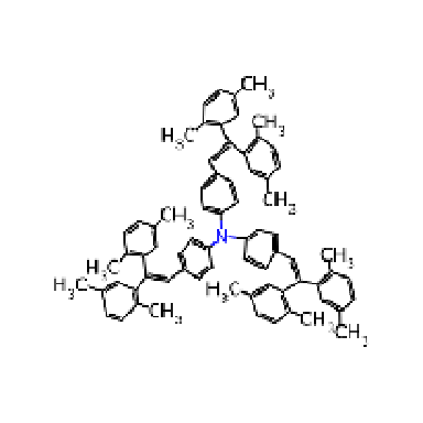 Cc1ccc(C)c(C(=Cc2ccc(N(c3ccc(C=C(c4cc(C)ccc4C)c4cc(C)ccc4C)cc3)c3ccc(C=C(c4cc(C)ccc4C)c4cc(C)ccc4C)cc3)cc2)c2cc(C)ccc2C)c1